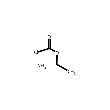 CCOC(=O)Cl.N